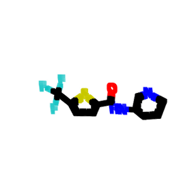 O=C(Nc1cccnc1)c1ccc(C(F)(F)F)s1